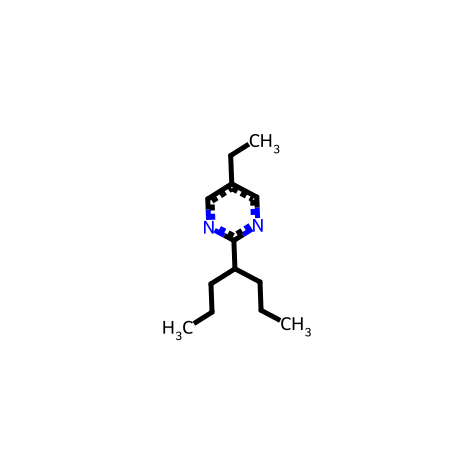 CCCC(CCC)c1ncc(CC)cn1